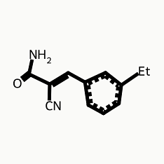 CCc1cccc(/C=C(\C#N)C(N)=O)c1